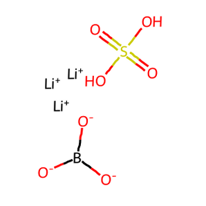 O=S(=O)(O)O.[Li+].[Li+].[Li+].[O-]B([O-])[O-]